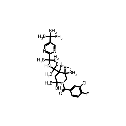 BC(B)(B)c1cnc(C(B)(B)NC(B)(B)C2(F)CC(B)(B)N(C(=O)c3ccc(F)c(Cl)c3)CC2(B)B)nc1